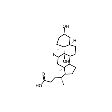 C[C@H](CCC(=O)O)C1CCC2C3CC[C@@H]4C[C@H](O)CC[C@]4(C)[C@@]3(O)C(I)C[C@@]21C